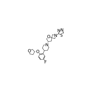 Fc1ccc(O[C@@H]2CCOC2)c(C2CCN([C@@H]3COC4(C3)CN(c3nncs3)C4)CC2)c1